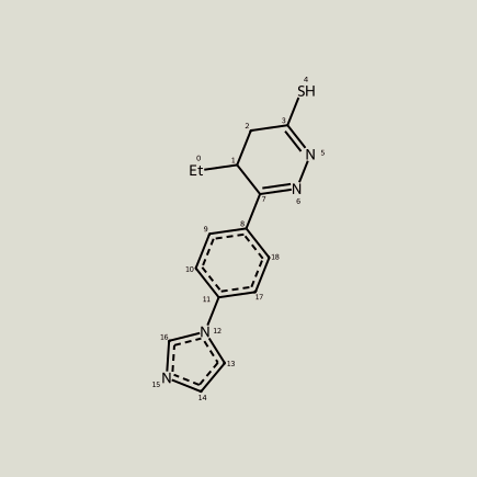 CCC1CC(S)=NN=C1c1ccc(-n2ccnc2)cc1